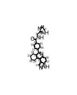 O=C(NCc1nnc[nH]1)c1ccc(-c2nc3ccc4[nH]ncc4c3c3c2CCCC3)cc1